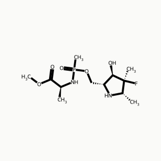 COC(=O)[C@H](C)NP(C)(=O)OC[C@H]1N[C@@H](C)[C@](C)(F)[C@@H]1O